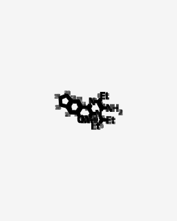 CCC1=C(N)N(C(CC)CC)C(CC)C(c2cc3c(cc2OC)CCC3)=N1